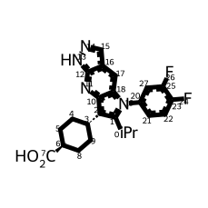 CC(C)c1c([C@H]2CC[C@H](C(=O)O)CC2)c2nc3[nH]ncc3cc2n1-c1ccc(F)c(F)c1